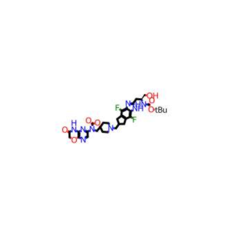 CC(C)(C)OC(=O)N[C@H](CO)Cc1nc2c(F)c3c(c(F)c2[nH]1)CC(CN1CCC2(CC1)CN(c1cnc4c(n1)NC(=O)CO4)C(=O)O2)C3